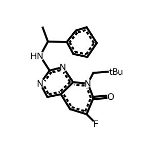 CC(Nc1ncc2cc(F)c(=O)n(CC(C)(C)C)c2n1)c1ccccc1